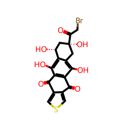 O=C1c2cscc2C(=O)c2c(O)c3c(c(O)c21)C[C@](O)(C(=O)CBr)C[C@H]3O